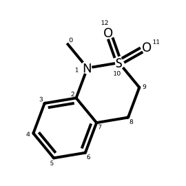 CN1c2ccccc2CCS1(=O)=O